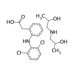 CC(O)CNCC(C)O.O=C(O)Cc1ccccc1Nc1c(Cl)cccc1Cl